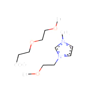 CCOCCOCCC(=O)[O-].CCOCC[n+]1ccn(C)c1